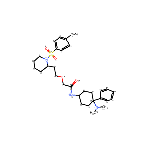 COc1ccc(S(=O)(=O)N2CCCCC2CCOCC(=O)NC2CCC(c3ccccc3)(N(C)C)CC2)cc1